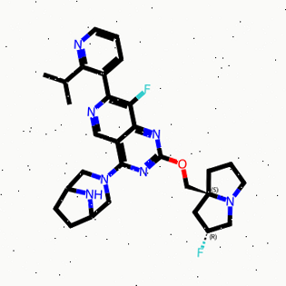 CC(C)c1ncccc1-c1ncc2c(N3CC4CCC(C3)N4)nc(OC[C@@]34CCCN3C[C@H](F)C4)nc2c1F